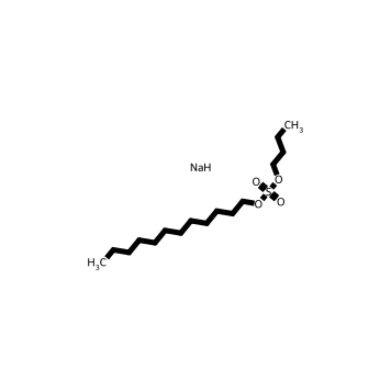 CCCCCCCCCCCCOS(=O)(=O)OCCCC.[NaH]